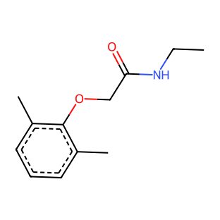 CCNC(=O)COc1c(C)cccc1C